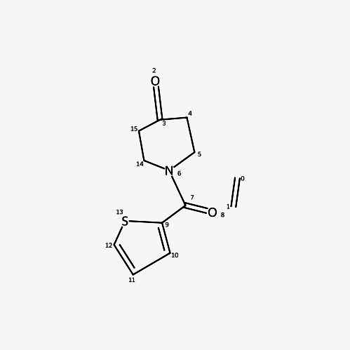 C=C.O=C1CCN(C(=O)c2cccs2)CC1